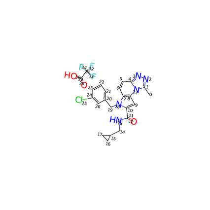 Cc1nnc2ccc3c(cc(C(=O)NCC4CC4)n3Cc3cccc(Cl)c3)n12.O=C(O)C(F)(F)F